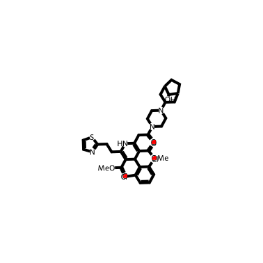 COC(=O)C1=C(CCc2nccs2)NC(CC(=O)N2CCN(C3CC4CCC(C3)C4O)CC2)=C(C(=O)OC)C1c1c(Cl)cccc1Cl